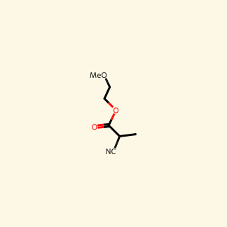 COCCOC(=O)C(C)C#N